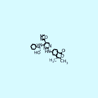 Cc1oc(=O)c2ccc(Nc3ncc(-c4nnco4)c(N[C@H](CO)c4ccccc4)n3)cc2c1C